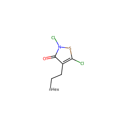 CCCCCCCCc1c(Cl)sn(Cl)c1=O